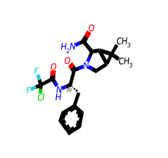 CC1(C)C2CN(C(=O)[C@H](Cc3ccccc3)NC(=O)C(F)(F)Cl)C(C(N)=O)C21